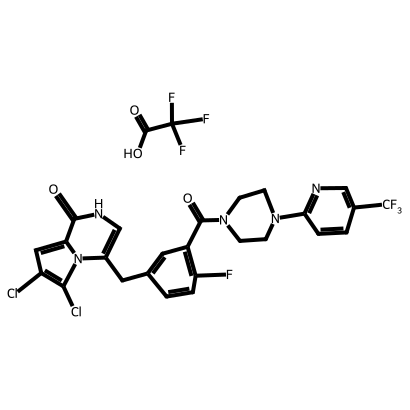 O=C(O)C(F)(F)F.O=C(c1cc(Cc2c[nH]c(=O)c3cc(Cl)c(Cl)n23)ccc1F)N1CCN(c2ccc(C(F)(F)F)cn2)CC1